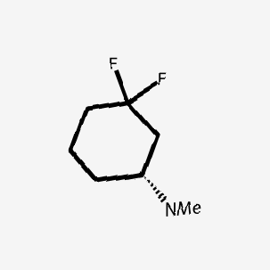 CN[C@@H]1CCCC(F)(F)C1